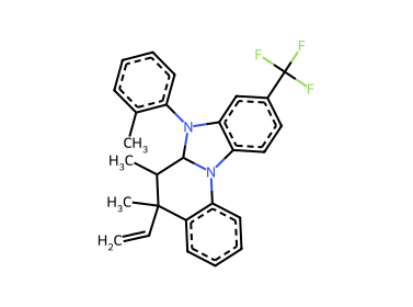 C=CC1(C)c2ccccc2N2c3ccc(C(F)(F)F)cc3N(c3ccccc3C)C2C1C